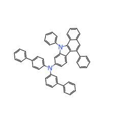 c1ccc(-c2ccc(N(c3cccc(-c4ccccc4)c3)c3ccc4c5c(-c6ccccc6)cc6ccccc6c5n(-c5ccccc5)c4c3)cc2)cc1